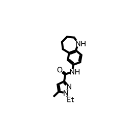 CCn1nc(C(=O)Nc2ccc3c(c2)CCCCN3)cc1C